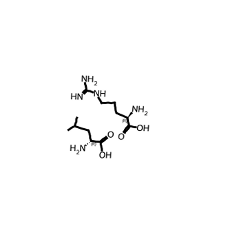 CC(C)C[C@@H](N)C(=O)O.N=C(N)NCCC[C@@H](N)C(=O)O